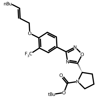 CCCCC=CCOc1ccc(-c2noc([C@@H]3CCCN3C(=O)OC(C)(C)C)n2)cc1C(F)(F)F